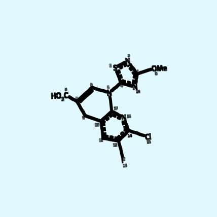 COc1nsc(N2C=C(C(=O)O)Cc3cc(F)c(Cl)nc32)n1